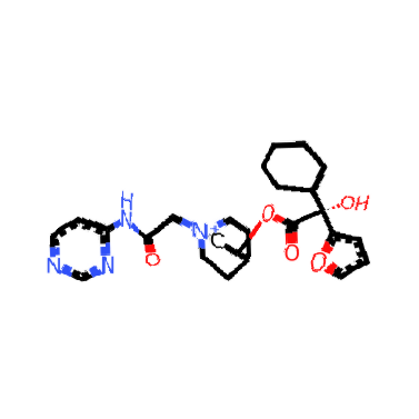 O=C(C[N+]12CCC(CC1)C(OC(=O)[C@](O)(c1ccco1)C1CCCCC1)C2)Nc1ccncn1